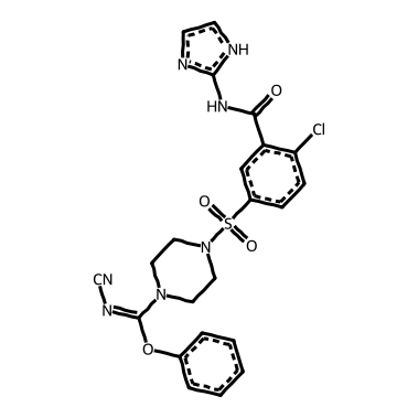 N#CN=C(Oc1ccccc1)N1CCN(S(=O)(=O)c2ccc(Cl)c(C(=O)Nc3ncc[nH]3)c2)CC1